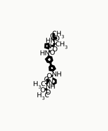 COC(=O)N[C@@H](C)C(=O)N1CCC[C@H]1C(=O)Nc1ccc(-c2ccc(NC(=O)[C@@H]3CCCN3C(=O)[C@H](C)NC(=O)OC)cc2)cc1